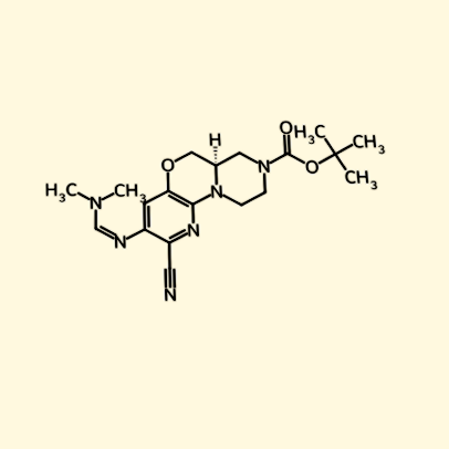 CN(C)/C=N\c1cc2c(nc1C#N)N1CCN(C(=O)OC(C)(C)C)C[C@@H]1CO2